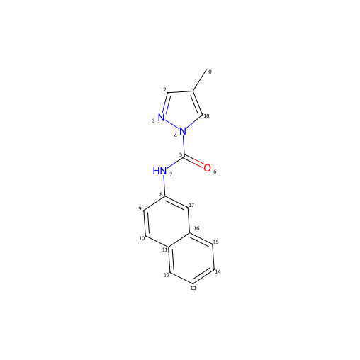 Cc1cnn(C(=O)Nc2ccc3ccccc3c2)c1